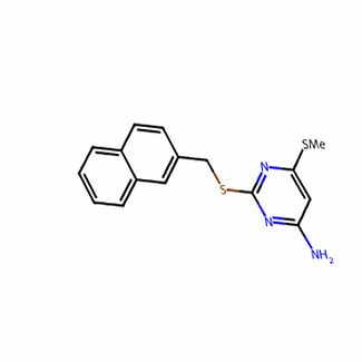 CSc1cc(N)nc(SCc2ccc3ccccc3c2)n1